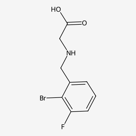 O=C(O)CNCc1cccc(F)c1Br